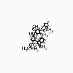 COc1cc(N(C)C[C@H]2CCCN2C)c(N)cc1Nc1ncc(C(=O)OC(C)C)c(-c2cn(C)c3ccccc23)n1